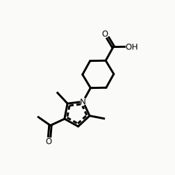 CC(=O)c1cc(C)n(C2CCC(C(=O)O)CC2)c1C